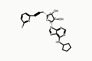 O[C@@H]1[C@H](O)[C@@H](CC#Cc2cccc(F)n2)O[C@H]1n1cnc2c(NC3CCCC3)ncnc21